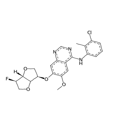 COc1cc2c(Nc3cccc(Cl)c3C)ncnc2cc1O[C@@H]1CO[C@@H]2C1OC[C@H]2F